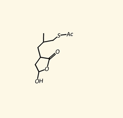 CC(=O)SCC(C)CC1CC(O)OC1=O